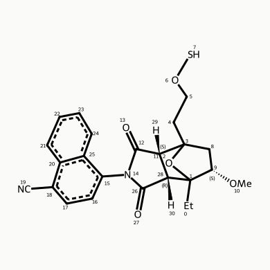 CCC12OC(CCOS)(C[C@@H]1OC)[C@H]1C(=O)N(c3ccc(C#N)c4ccccc34)C(=O)[C@H]12